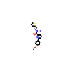 CCOc1ccc(-c2cccc(C(=O)NN=Cc3cccs3)n2)cc1